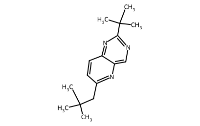 CC(C)(C)Cc1ccc2nc(C(C)(C)C)ncc2n1